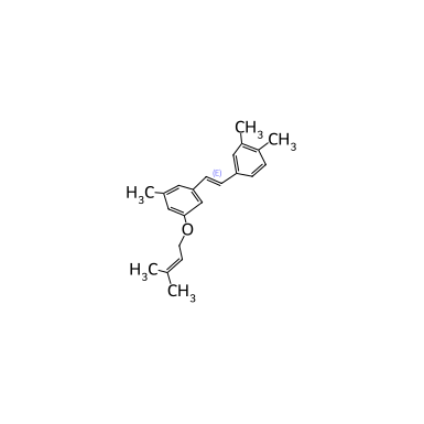 CC(C)=CCOc1cc(C)cc(/C=C/c2ccc(C)c(C)c2)c1